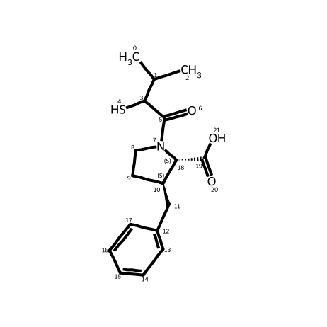 CC(C)C(S)C(=O)N1CC[C@H](Cc2ccccc2)[C@H]1C(=O)O